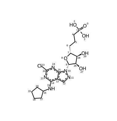 O=P(O)(O)CCC[C@H]1O[C@@H](n2ncc3c(NC4CCCC4)nc(Cl)nc32)[C@H](O)[C@@H]1O